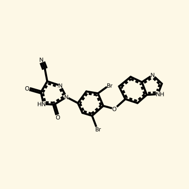 N#Cc1nn(-c2cc(Br)c(Oc3ccc4nc[nH]c4c3)c(Br)c2)c(=O)[nH]c1=O